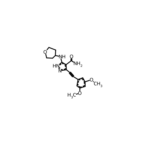 COc1cc(C#Cc2n[nH]c(NC3CCOCC3)c2C(N)=O)cc(OC)c1